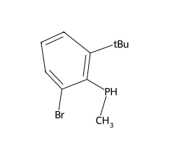 CPc1c(Br)cccc1C(C)(C)C